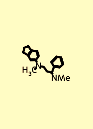 CNC(CCN(C)c1ccc2c(c1)CCC2)c1ccccc1